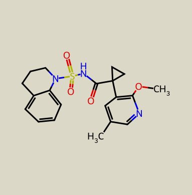 COc1ncc(C)cc1C1(C(=O)NS(=O)(=O)N2CCCc3ccccc32)CC1